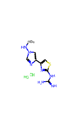 CCCCNn1cnc(-c2csc(NC(=N)N)n2)c1.Cl.Cl